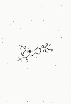 CC(C)(C)OC(=O)N[C@@H](Cc1ccc(OS(=O)(=O)C(F)(F)F)cc1)C(=O)OC(C)(C)C